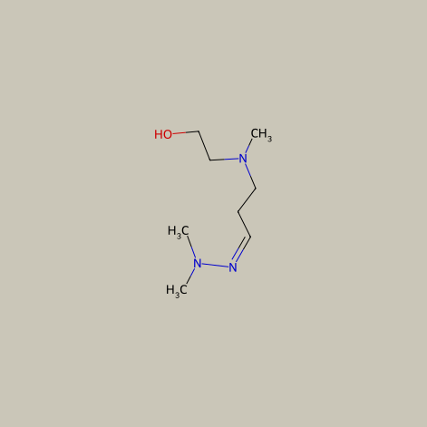 CN(CCO)CC/C=N\N(C)C